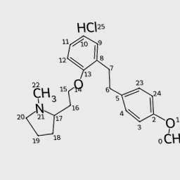 COc1ccc(CCc2ccccc2OCCC2CCCN2C)cc1.Cl